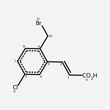 O=C(O)C=Cc1cc(Cl)ccc1CBr